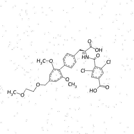 COCCOCc1cc(OC)c(-c2ccc(C[C@H](NC(=O)c3c(Cl)cc(C(=O)O)cc3Cl)C(=O)O)cc2)c(OC)c1